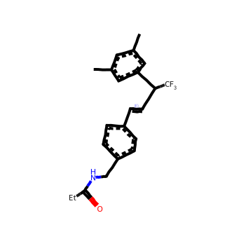 CCC(=O)NCc1ccc(/C=C/C(c2cc(C)cc(C)c2)C(F)(F)F)cc1